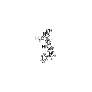 Cc1nc(C)c(-c2csc(NC(=O)CN3CCCC3c3ccccc3)n2)s1